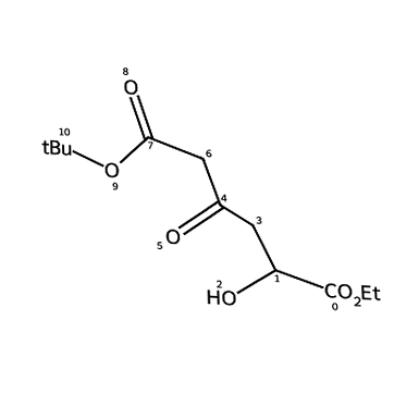 CCOC(=O)C(O)CC(=O)CC(=O)OC(C)(C)C